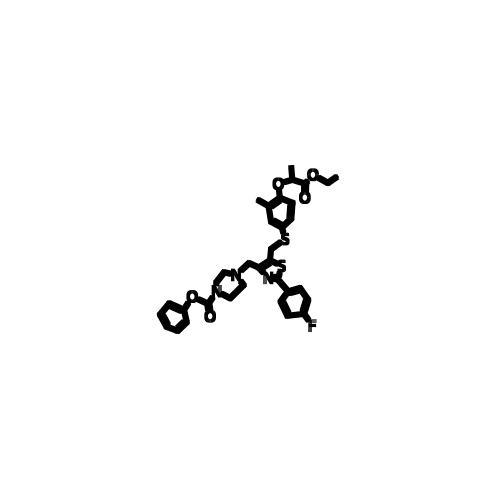 CCOC(=O)C(C)Oc1ccc(SCc2sc(-c3ccc(F)cc3)nc2CN2CCN(C(=O)Oc3ccccc3)CC2)cc1C